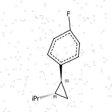 CC(C)[C@H]1C[C@@H]1c1ccc(F)cc1